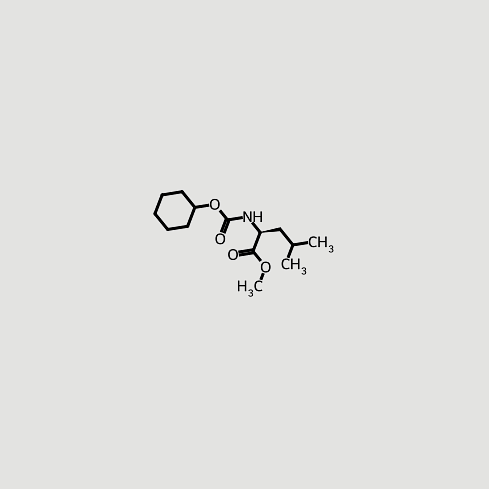 COC(=O)[C@H](CC(C)C)NC(=O)OC1CCCCC1